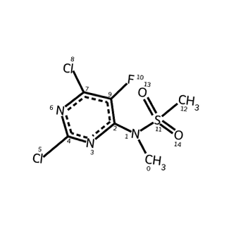 CN(c1nc(Cl)nc(Cl)c1F)S(C)(=O)=O